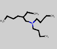 CCCCC(CC)CN(CCCC)CCCC